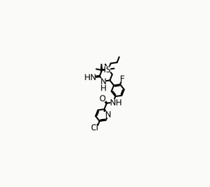 CCC[SH]1(C)(C)CC(c2cc(NC(=O)c3ccc(Cl)cn3)ccc2F)NC(=N)C1(C)C